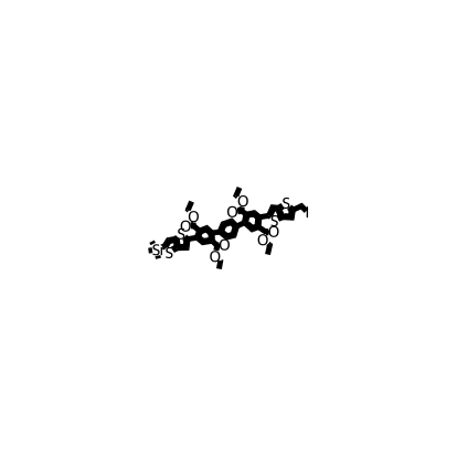 CCOC(=O)c1cc(-c2cc3sc(CI)cc3s2)c(C(=O)OCC)cc1-c1ccc(-c2cc(C(=O)OCC)c(-c3cc4sc([Si](C)(C)C)cc4s3)cc2C(=O)OCC)cc1